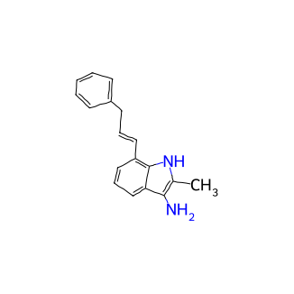 Cc1[nH]c2c(C=CCc3ccccc3)cccc2c1N